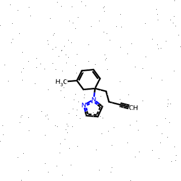 C#CCCC1(n2cccn2)C=CC=C(C)C1